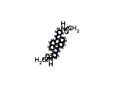 C=CC(=O)Nc1ccc(/C=C/c2ccc3ccccc3c2-c2c(/C=C/c3ccc(NC(=O)C=C)cc3)ccc3ccccc23)cc1